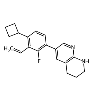 C=Cc1c(C2CCC2)ccc(-c2cnc3c(c2)CCCN3)c1F